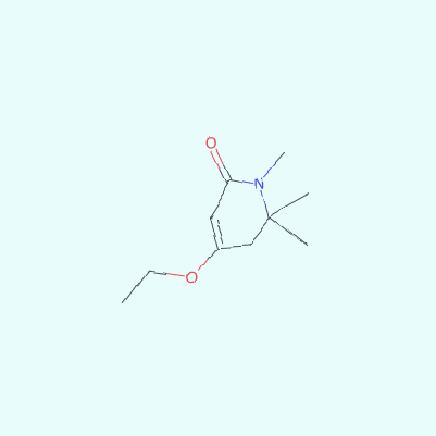 CCOC1=CC(=O)N(C)C(C)(C)C1